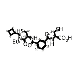 CCN(CC1CCC1)C(=O)C(CS)NC(=O)c1cccc(C(=O)NC(CS)C(=O)O)c1